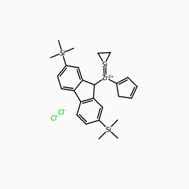 C[Si](C)(C)c1ccc2c(c1)[CH]([Zr+2]([C]1=CC=CC1)=[Si]1CC1)c1cc([Si](C)(C)C)ccc1-2.[Cl-].[Cl-]